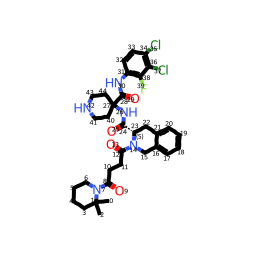 CC1(C)CCCCN1C(=O)CCC(=O)N1Cc2ccccc2C[C@H]1C(=O)NC1(C(=O)Nc2ccc(Cl)c(Cl)c2F)CCNCC1